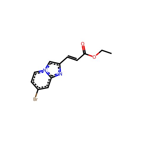 CCOC(=O)/C=C/c1cn2ccc(Br)cc2n1